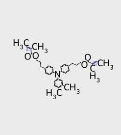 C/C=C(\C)C(=O)OCCCc1ccc(N(c2ccc(CCCOC(=O)/C(C)=C/C)cc2)c2ccc(C)c(C)c2)cc1